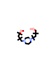 COC(C)(C)CC(C)(C)CN1CCCN(C(C)(C)CC(C)(C)CO)CC1